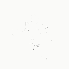 C=CCC1(S(=O)(=O)Nc2cc(C)c(=O)n(C)c2N(C(=O)OC(C)(C)C)c2ccc(I)cc2F)CC1